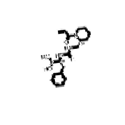 C=CC(=O)N1CCCC[C@H]1CNC(=O)N[C@@H](Cc1ccccc1)B(O)O